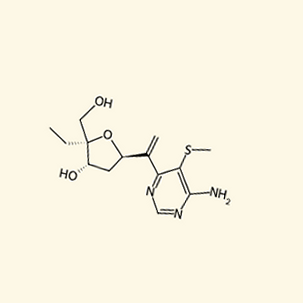 C=C(c1ncnc(N)c1SC)[C@H]1C[C@H](O)[C@@](CC)(CO)O1